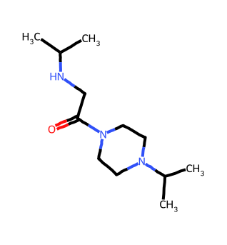 CC(C)NCC(=O)N1CCN(C(C)C)CC1